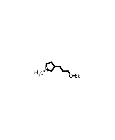 CCOCCCC1CCN(C)C1